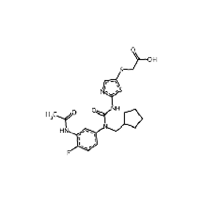 CC(=O)Nc1cc(N(CC2CCCC2)C(=O)Nc2ncc(SCC(=O)O)s2)ccc1F